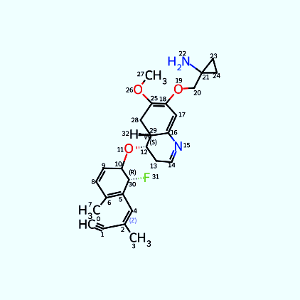 C#C/C(C)=C\C1=C(C)C=CC(O[C@H]2CC=NC3=CC(OCC4(N)CC4)=C(OC)C[C@H]32)[C@@H]1F